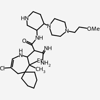 CCC1(C)C(C(C(=N)N)C(=O)NC2CNCCC2N2CCN(CCOC)CC2)NC=C(Cl)CC12CCCCC2